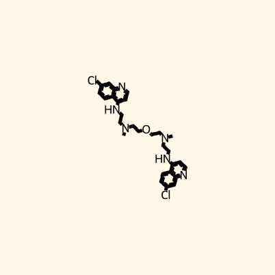 CN(CCNc1ccnc2cc(Cl)ccc12)CCOCCN(C)CCNc1ccnc2cc(Cl)ccc12